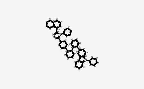 c1ccc(-n2c(-c3ccc(-c4ccccc4-c4ccccc4-c4ccc5c(c4)c4ccccc4n5-c4ccccc4)cc3)nnc2-c2cccc3ccccc23)cc1